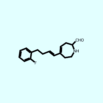 O=CC1CC=C(/C=C/CCc2ccccc2F)CCN1